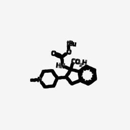 CN1CCC(C2Cc3ccccc3C2(NC(=O)OC(C)(C)C)C(=O)O)CC1